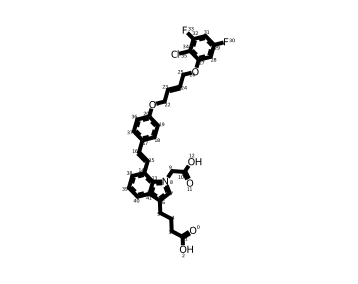 O=C(O)CCCc1cn(CC(=O)O)c2c(C=Cc3ccc(OC/C=C/COc4cc(F)cc(F)c4Cl)cc3)cccc12